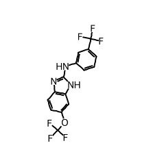 FC(F)(F)Oc1ccc2nc(Nc3cccc(C(F)(F)F)c3)[nH]c2c1